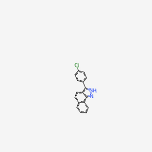 Clc1ccc(-c2[nH]nc3c2ccc2ccccc23)cc1